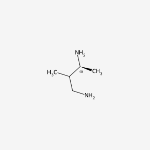 CC(CN)[C@H](C)N